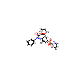 O=C1N(c2ccccc2)c2ccc(S(=O)(=O)c3ccccn3)cc2C12OCCCO2